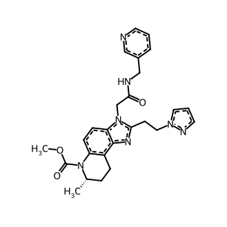 COC(=O)N1c2ccc3c(nc(CCn4cccn4)n3CC(=O)NCc3cccnc3)c2CC[C@@H]1C